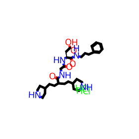 Cl.Cl.O=C(O)C[C@H](NC(=O)CNC(=O)C(CCC1CCNCC1)CCC1CCNCC1)C(=O)NCCCc1ccccc1